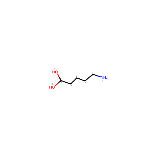 NCCCCC(O)O